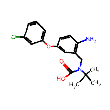 CC(C)(C)N(Cc1cc(Oc2cccc(Cl)c2)ccc1N)C(=O)O